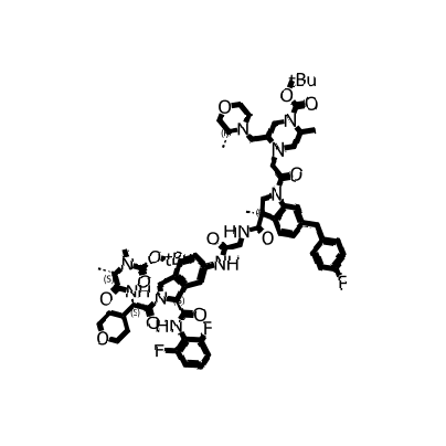 CC1CN(CC(=O)N2C[C@](C)(C(=O)NCC(=O)Nc3ccc4c(c3)[C@@H](C(=O)Nc3c(F)cccc3F)N(C(=O)[C@@H](NC(=O)[C@H](C)N(C)C(=O)OC(C)(C)C)C3CCOCC3)C4)c3ccc(Cc4ccc(F)cc4)cc32)C(CN2CCOC[C@H]2C)CN1C(=O)OC(C)(C)C